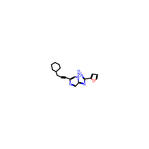 N[N+]12C=C(C#CCC3CCCCC3)N=CC1=NC(c1ccco1)=N2